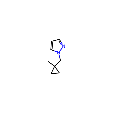 CC1(Cn2cccn2)CC1